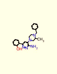 CC1CN(c2cc(-c3ccccc3O)nnc2N)CCN1Cc1ccccc1